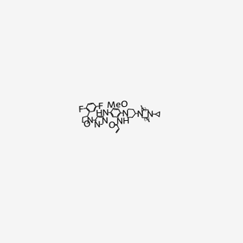 C=CC(=O)Nc1cc(Nc2cc(N3OCCC3c3cc(F)ccc3F)ncn2)c(OC)cc1N1CCC(N2C[C@H](C)N(C3CC3)C[C@@H]2C)CC1